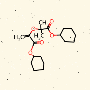 C=C(OC(C)(C)C(=O)OC1CCCCC1)C(=O)OC1CCCCC1